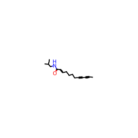 CC#CC#CCCCCC=CC(=O)NCC(C)C